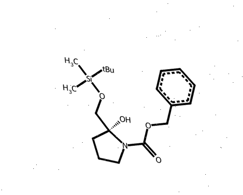 CC(C)(C)[Si](C)(C)OC[C@]1(O)CCCN1C(=O)OCc1ccccc1